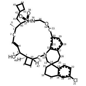 C[C@H]1C/C=C/[C@H](O)[C@@H]2CC[C@H]2CN2C[C@@]3(CCCc4cc(Cl)ccc43)CCc3ccc(cc32)COCNS(=O)(=O)[C@@H]1CC1CCC1